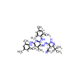 Cc1cc(C)c(Nc2cc(C)c(/N=N/c3[nH]nc(C(C)(C)C)c3C#N)c(Nc3c(C)cc(C)cc3C)n2)c(C)c1